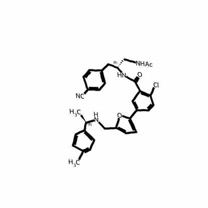 CC(=O)NC[C@@H](Cc1ccc(C#N)cc1)NC(=O)c1cc(-c2ccc(CN[C@H](C)c3ccc(C)cc3)o2)ccc1Cl